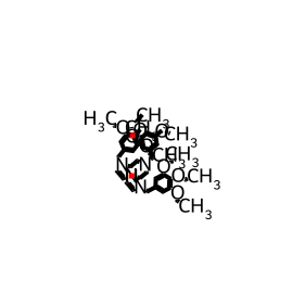 CCOc1cc(Cn2ccnc2CN(Cc2cc(OC)cc(OC)c2)Cc2nccn2Cc2cc(OCC)c(OCC)c(OCC)c2)cc(OCC)c1OCC